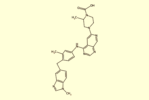 Cc1cc(Nc2ncnc3cnc(N4CCN(C(=O)O)C(C)C4)cc23)ccc1Cc1ccc2c(c1)ncn2C